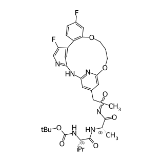 CC(C)[C@H](NC(=O)OC(C)(C)C)C(=O)N[C@@H](C)C(=O)N=S(C)(=O)Cc1cc2nc(c1)OCCCOc1cc(F)ccc1-c1cc(ncc1F)N2